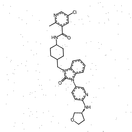 Cc1ncc(Cl)cc1C(=O)NC1CCC(Cn2c(=O)n(-c3ccc(N[C@H]4CCOC4)nc3)c3ccccc32)CC1